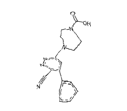 N#Cc1nnc(N2CCN(C(=O)O)CC2)cc1-c1ccccc1